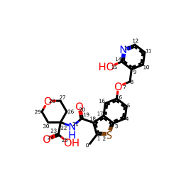 Cc1sc2ccc(OCc3cccnc3O)cc2c1C(=O)NC1(C(=O)O)CCOCC1